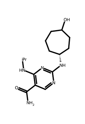 CC(C)Nc1nc(N[C@@H]2CCCC(O)CC2)ncc1C(N)=O